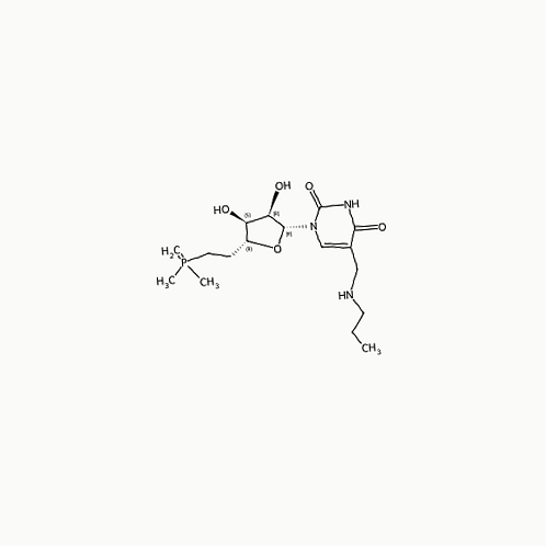 C=P(C)(C)CC[C@H]1O[C@@H](n2cc(CNCCC)c(=O)[nH]c2=O)[C@H](O)[C@@H]1O